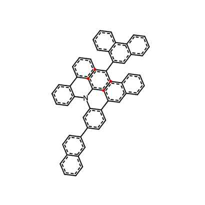 c1ccc(-c2ccccc2N(c2ccc(-c3cc4ccccc4c4ccccc34)cc2)c2cc(-c3ccc4ccccc4c3)ccc2-c2ccc3ccccc3c2)cc1